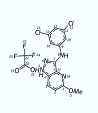 COc1ccc2[nH]nc(Nc3cc(Cl)cc(Cl)c3)c2n1.O=C(O)C(F)(F)F